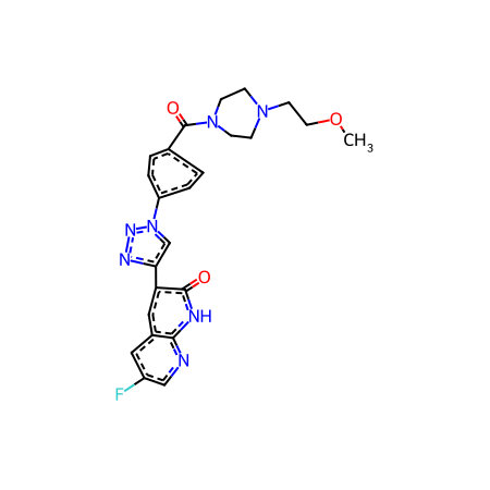 COCCN1CCN(C(=O)c2ccc(-n3cc(-c4cc5cc(F)cnc5[nH]c4=O)nn3)cc2)CC1